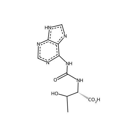 CC(O)[C@H](NC(=O)Nc1ncnc2[nH]cnc12)C(=O)O